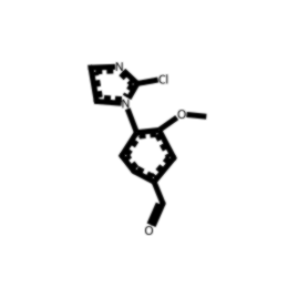 COc1cc(C=O)ccc1-n1ccnc1Cl